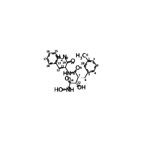 Cc1cccc(C[C@@H](C(=O)N[C@@H](Cc2ccccc2)C(N)=O)[C@H](O)C(=O)NO)c1